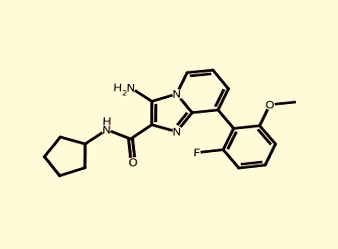 COc1cccc(F)c1-c1cccn2c(N)c(C(=O)NC3CCCC3)nc12